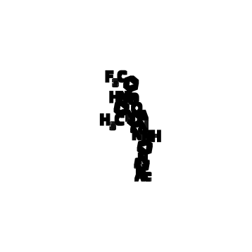 CC(=O)N1CCN(c2ccc(Nc3ncc4c(n3)C3(CC3)C(=O)N(c3cc(NC(=O)c5cccc(C(F)(F)F)c5)ccc3C)C4)cc2)CC1